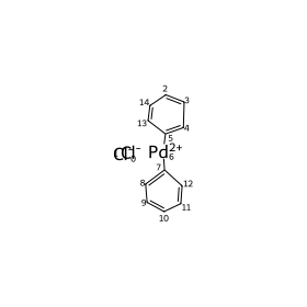 [Cl-].[Cl-].c1cc[c]([Pd+2][c]2ccccc2)cc1